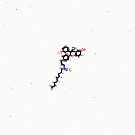 CC1=C(c2cccc(O)c2)C(c2ccc(/C=C\CN(C)CCCCCCCCC(F)F)cc2)Oc2ccc(O)cc21